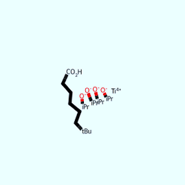 CC(C)(C)CCCCCC(=O)O.CC(C)[O-].CC(C)[O-].CC(C)[O-].CC(C)[O-].[Ti+4]